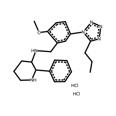 CCCc1nnnn1-c1ccc(OC)c(CNC2CCCNC2c2ccccc2)c1.Cl.Cl